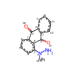 CCCN(N)c1cccc2c1C(=O)c1ccccc1C2=O